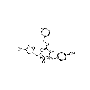 O=C(N[C@@H](Cc1ccc(O)cc1)C(=O)NCC1CC(Br)=NO1)OCc1cccnc1